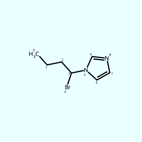 CCCC(Br)n1ccnc1